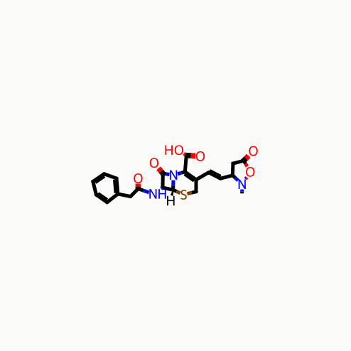 CN1OC(=O)CC1C=CC1=C(C(=O)O)N2C(=O)C(NC(=O)Cc3ccccc3)[C@H]2SC1